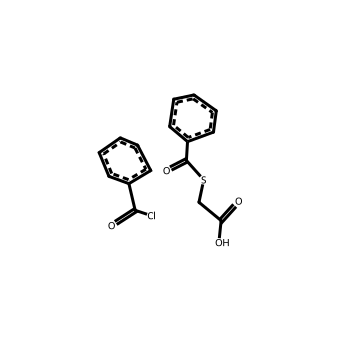 O=C(Cl)c1ccccc1.O=C(O)CSC(=O)c1ccccc1